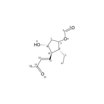 CC[C@H]1C(OC=O)C[C@@H](O)[C@@H]1/C=C/C(C)=O